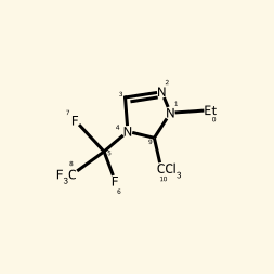 CCN1N=CN(C(F)(F)C(F)(F)F)C1C(Cl)(Cl)Cl